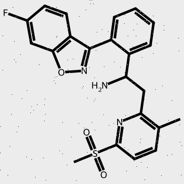 Cc1ccc(S(C)(=O)=O)nc1CC(N)c1ccccc1-c1noc2cc(F)ccc12